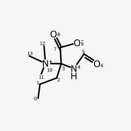 CCCC(NC=O)(C(=O)[O-])[N+](C)(C)C